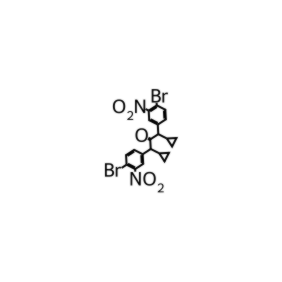 O=C(C(c1ccc(Br)c([N+](=O)[O-])c1)C1CC1)C(c1ccc(Br)c([N+](=O)[O-])c1)C1CC1